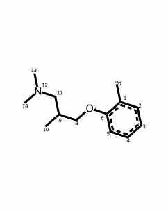 [CH]c1ccccc1OCC(C)CN(C)C